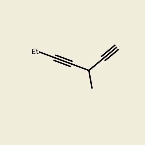 [C]#CC(C)C#CC[CH2]